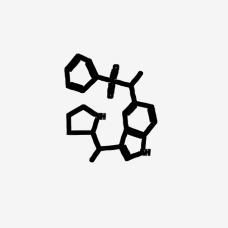 CC(c1c[nH]c2ccc(C(C)S(=O)(=O)c3ccccc3)cc12)C1CCCN1